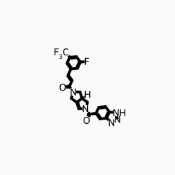 O=C(c1ccc2[nH]nnc2c1)N1C=C2CN(C(=O)C=Cc3cc(F)cc(C(F)(F)F)c3)C[C@@H]2C1